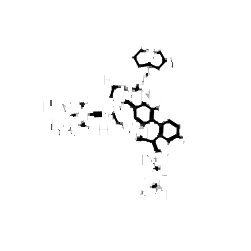 CC(C)[Si](C#C[C@H]1COc2c(Cl)c(-c3ccc(F)c4sc(NC(=O)OC(C)(C)C)c(C#N)c34)c(F)c3nc(OC[C@@]45CCCN4C[C@H](F)C5)nc(c23)N1CC(F)F)(C(C)C)C(C)C